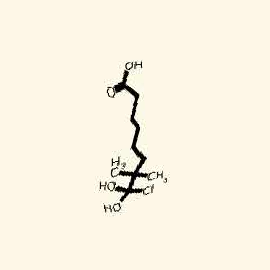 CC(C)(CCCCCC(=O)O)C(O)(O)Cl